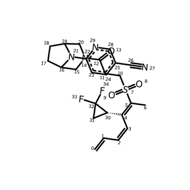 C=C/C=C\C(=C(/C)S(=O)(=O)CCC(=O)N1CC2CCC(C1)N2c1ccc(C#N)cn1)[C@@H]1CC1(F)F